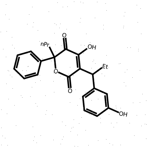 CCCC1(c2ccccc2)OC(=O)C(C(CC)c2cccc(O)c2)=C(O)C1=O